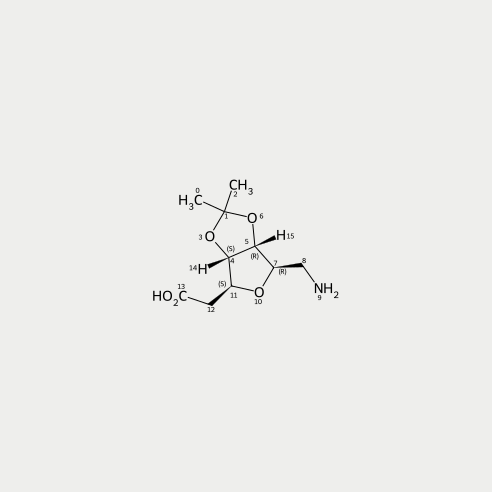 CC1(C)O[C@@H]2[C@H](O1)[C@@H](CN)O[C@H]2CC(=O)O